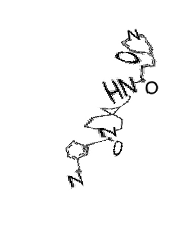 N#Cc1cccc(C(=O)N2CCC3(CC2)CC3CNC(=O)c2cc3ccncc3o2)c1